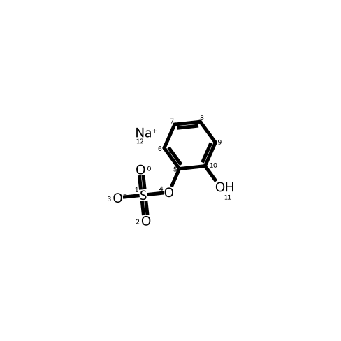 O=S(=O)([O-])Oc1ccccc1O.[Na+]